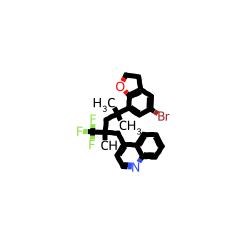 CC(C)(CC(C)(Cc1ccnc2ccccc12)C(F)(F)F)c1cc(Br)cc2c1OCC2